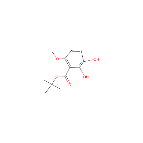 COc1ccc(O)c(O)c1C(=O)OC(C)(C)C